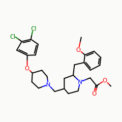 COC(=O)CN1CCC(CN2CCC(Oc3ccc(Cl)c(Cl)c3)CC2)CC1Cc1ccccc1OC